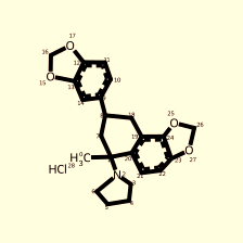 CC1(N2CCCC2)CC(c2ccc3c(c2)OCO3)Cc2c1ccc1c2OCO1.Cl